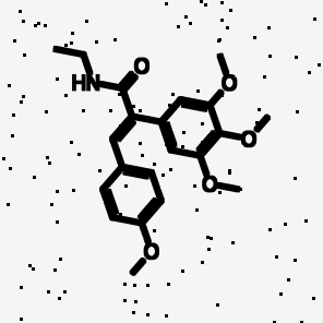 CCNC(=O)/C(=C/c1ccc(OC)cc1)c1cc(OC)c(OC)c(OC)c1